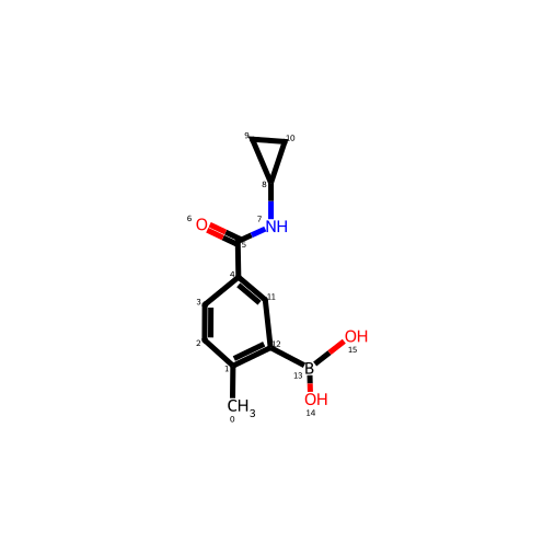 Cc1ccc(C(=O)NC2CC2)cc1B(O)O